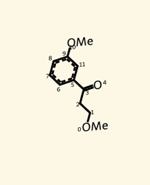 COCCC(=O)c1cccc(OC)c1